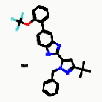 CC(C)(C)c1cc(-c2nc3cc(-c4ccccc4OC(F)(F)F)ccc3[nH]2)n(Cc2ccccc2)n1.[NaH]